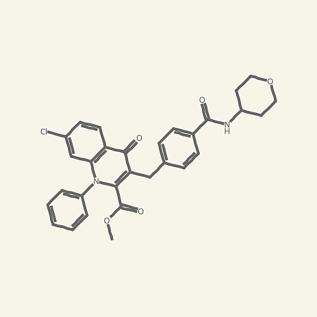 COC(=O)c1c(Cc2ccc(C(=O)NC3CCOCC3)cc2)c(=O)c2ccc(Cl)cc2n1-c1ccccc1